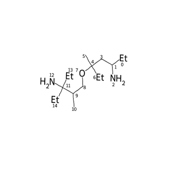 CCC(N)CC(C)(CC)OCC(C)C(N)(CC)CC